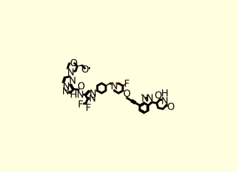 COC[C@H]1CN(c2ccn3ncc(C(=O)Nc4cn([C@H]5CC[C@H](CN6CC[C@H](OCC#Cc7cccc8c(C9CCC(=O)NC9=O)nn(C)c78)[C@H](F)C6)CC5)nc4C(F)F)c3n2)CCO1